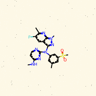 CNc1ccnc(N(c2cc(C)cc(S(C)(=O)=O)c2)c2nn(C)c3nc(C)c(F)cc23)n1